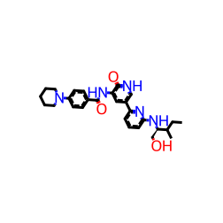 CCC(C)[C@@H](CO)Nc1cccc(-c2c[nH]c(=O)c(NC(=O)c3ccc(N4CCCCC4)cc3)c2)n1